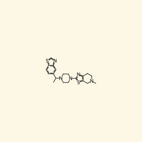 CC(c1ccc2scnc2c1)N1CCN(c2nc3c(s2)CN(C)CC3)CC1